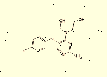 Nc1ncc(Sc2ccc(Cl)cc2)c(N(CO)CCO)n1